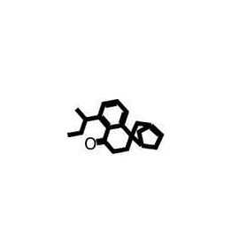 CCC(C)c1cccc2c1C(=O)CCC21CC2=CCC1C2